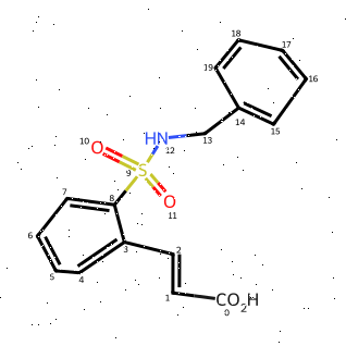 O=C(O)C=Cc1ccccc1S(=O)(=O)NCc1ccccc1